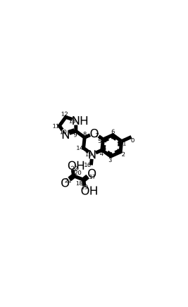 Cc1ccc2c(c1)OC(C1=NCCN1)CN2C.O=C(O)C(=O)O